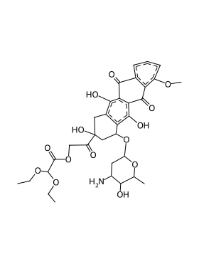 CCOC(OCC)C(=O)OCC(=O)C1(O)Cc2c(O)c3c(c(O)c2C(OC2CC(N)C(O)C(C)O2)C1)C(=O)c1c(OC)cccc1C3=O